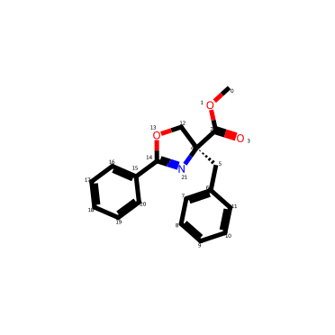 COC(=O)[C@]1(Cc2ccccc2)COC(c2ccccc2)=N1